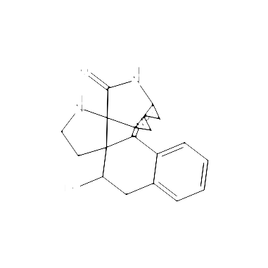 CC1Cc2ccccc2C(=O)C12CCNC21C(=O)Nc2ccccc21